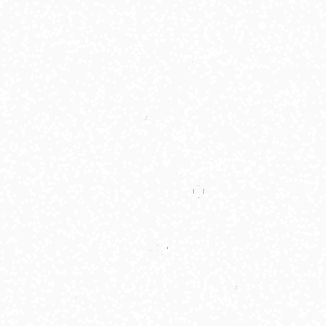 C=C(C)CCC(CCCC)OC(=O)CC